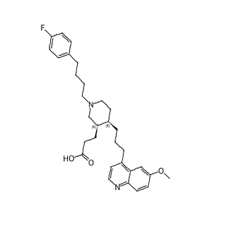 COc1ccc2nccc(CCC[C@@H]3CCN(CCCCc4ccc(F)cc4)C[C@@H]3CCC(=O)O)c2c1